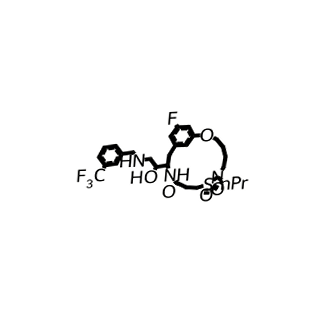 CCCN1CCCCOc2cc(F)cc(c2)CC(C(O)CNCc2cccc(C(F)(F)F)c2)NC(=O)CCS1(=O)=O